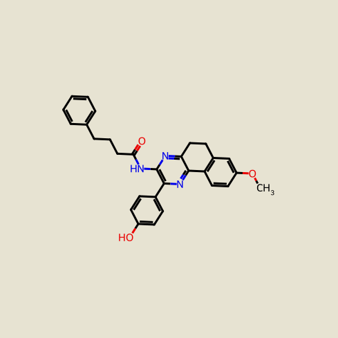 COc1ccc2c(c1)CCc1nc(NC(=O)CCCc3ccccc3)c(-c3ccc(O)cc3)nc1-2